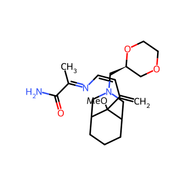 C=C(/C=C\N=C(/C)C(N)=O)C1(OC)C2CCCC1CN(C[C@@H]1COCCO1)C2